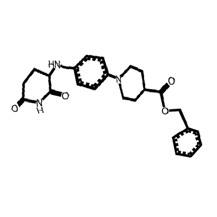 O=C1CCC(Nc2ccc(N3CCC(C(=O)OCc4ccccc4)CC3)cc2)C(=O)N1